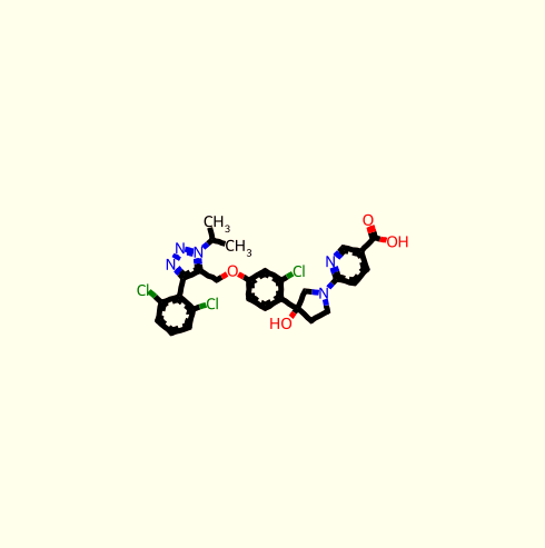 CC(C)n1nnc(-c2c(Cl)cccc2Cl)c1COc1ccc(C2(O)CCN(c3ccc(C(=O)O)cn3)C2)c(Cl)c1